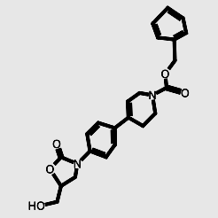 O=C(OCc1ccccc1)N1CC=C(c2ccc(N3CC(CO)OC3=O)cc2)CC1